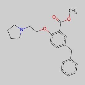 COC(=O)c1cc(Cc2ccccc2)ccc1OCCN1CCCC1